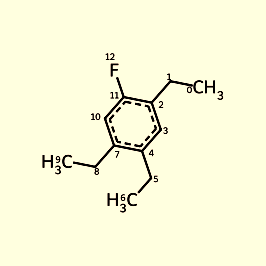 CCc1cc(CC)c(CC)cc1F